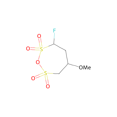 COC1CC(F)S(=O)(=O)OS(=O)(=O)C1